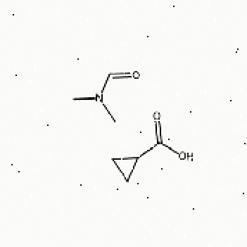 CN(C)C=O.O=C(O)C1CC1